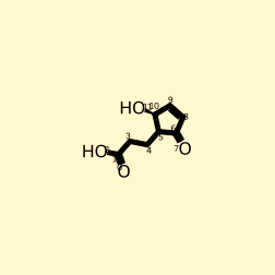 O=C(O)CCC1C(=O)C=C[C@@H]1O